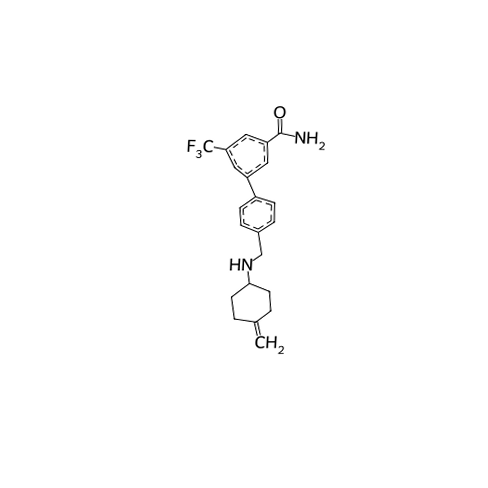 C=C1CCC(NCc2ccc(-c3cc(C(N)=O)cc(C(F)(F)F)c3)cc2)CC1